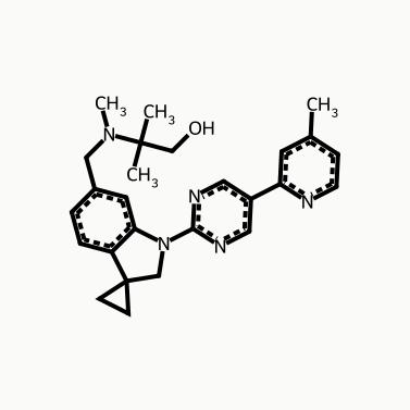 Cc1ccnc(-c2cnc(N3CC4(CC4)c4ccc(CN(C)C(C)(C)CO)cc43)nc2)c1